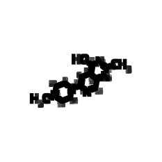 Cc1nc(O)c2cc(N3CCN(C)CC3)ncc2n1